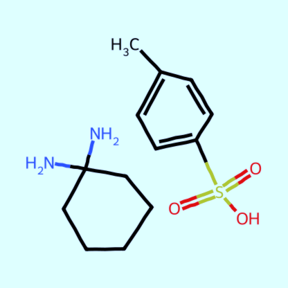 Cc1ccc(S(=O)(=O)O)cc1.NC1(N)CCCCC1